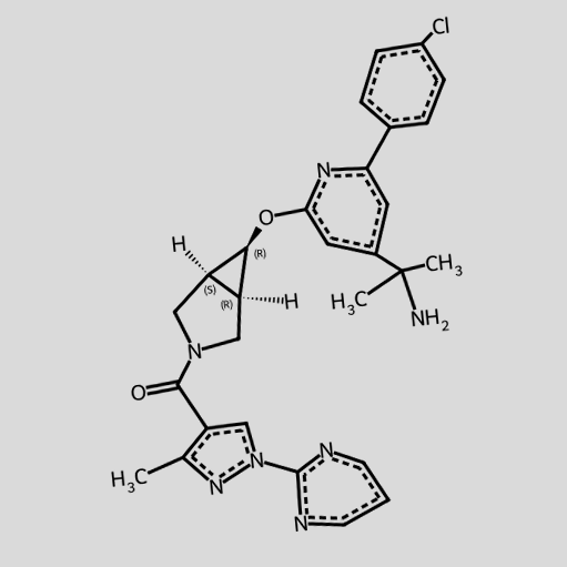 Cc1nn(-c2ncccn2)cc1C(=O)N1C[C@@H]2[C@H](C1)[C@@H]2Oc1cc(C(C)(C)N)cc(-c2ccc(Cl)cc2)n1